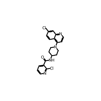 O=C(NC1CCN(c2ccnc3cc(Cl)ccc23)CC1)c1cccnc1Cl